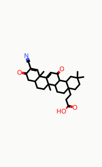 CC1(C)CCC2(CCC(=O)O)CCC3C(C(=O)C=C4C5(C)C=C(C#N)C(=O)CC5CCC43C)C2C1